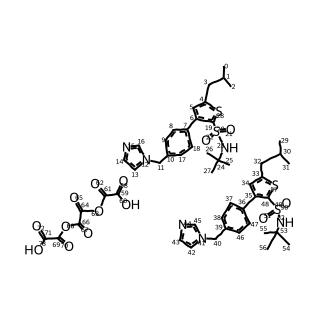 CC(C)Cc1cc(-c2ccc(Cn3ccnc3)cc2)c(S(=O)(=O)NC(C)(C)C)s1.CC(C)Cc1cc(-c2ccc(Cn3ccnc3)cc2)c(S(=O)(=O)NC(C)(C)C)s1.O=C(O)C(=O)OC(=O)C(=O)OC(=O)C(=O)O